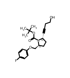 CC(C)(C)OC(=O)N1[C@H](COc2ccc(F)cc2)CC[C@H]1C#CCCO